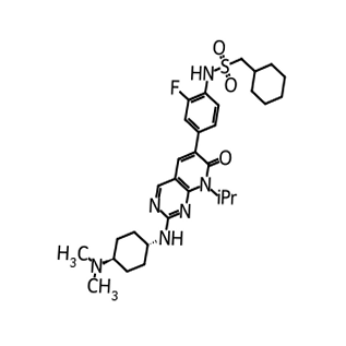 CC(C)n1c(=O)c(-c2ccc(NS(=O)(=O)CC3CCCCC3)c(F)c2)cc2cnc(N[C@H]3CC[C@H](N(C)C)CC3)nc21